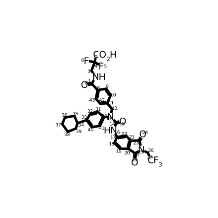 O=C(NCC(F)(F)C(=O)O)c1ccc(CN(C(=O)Nc2ccc3c(c2)C(=O)N(CC(F)(F)F)C3=O)c2ccc(C3CCCCC3)cc2)cc1